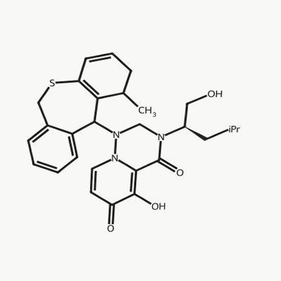 CC(C)C[C@H](CO)N1CN(C2C3=C(C=CCC3C)SCc3ccccc32)n2ccc(=O)c(O)c2C1=O